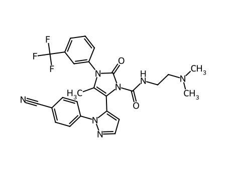 Cc1c(-c2ccnn2-c2ccc(C#N)cc2)n(C(=O)NCCN(C)C)c(=O)n1-c1cccc(C(F)(F)F)c1